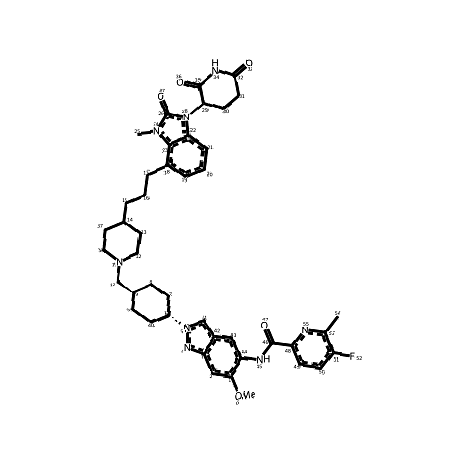 COc1cc2nn([C@H]3CC[C@H](CN4CCC(CCCc5cccc6c5n(C)c(=O)n6C5CCC(=O)NC5=O)CC4)CC3)cc2cc1NC(=O)c1ccc(F)c(C)n1